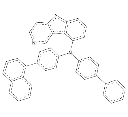 c1ccc(-c2ccc(N(c3ccc(-c4cccc5ccccc45)cc3)c3cccc4sc5ccncc5c34)cc2)cc1